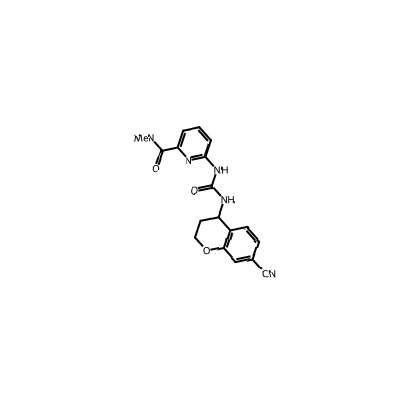 CNC(=O)c1cccc(NC(=O)NC2CCOc3cc(C#N)ccc32)n1